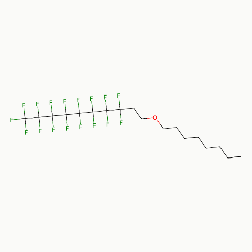 CCCCCCCCOCCC(F)(F)C(F)(F)C(F)(F)C(F)(F)C(F)(F)C(F)(F)C(F)(F)C(F)(F)F